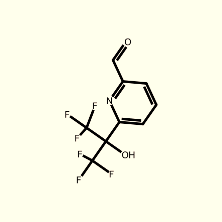 O=Cc1cccc(C(O)(C(F)(F)F)C(F)(F)F)n1